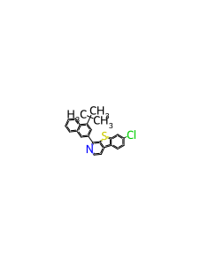 CC(C)(C)c1cc(-c2nccc3c2sc2cc(Cl)ccc23)cc2ccccc12